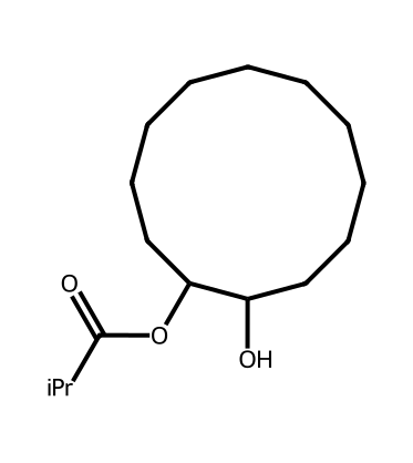 CC(C)C(=O)OC1CCCCCCCCCCC1O